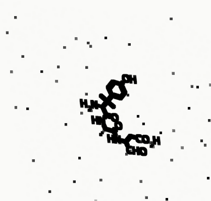 C[C@H](NC(=O)[C@@H](N)C(C)(C)c1ccc(O)cc1)C(=O)NC(C=O)CC(=O)O